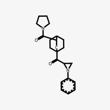 O=C(C1CC2(C(=O)C3CN3c3ccccc3)CCC1CC2)N1CCCC1